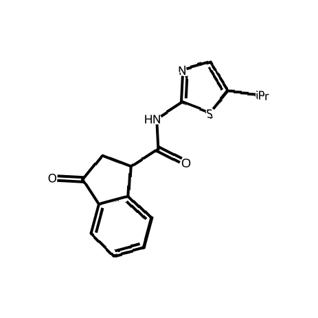 CC(C)c1cnc(NC(=O)C2CC(=O)c3ccccc32)s1